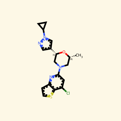 C[C@@H]1CN(c2cc(Cl)c3sccc3n2)C[C@H](c2cnn(C3CC3)c2)O1